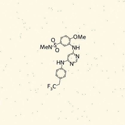 CNS(=O)(=O)c1ccc(OC)c(Nc2cc(Nc3ccc(CC(F)(F)F)cc3)ncn2)c1